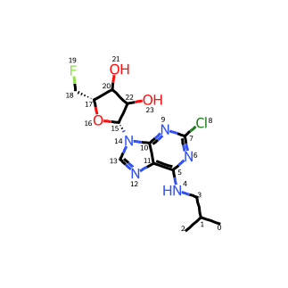 CC(C)CNc1nc(Cl)nc2c1ncn2[C@@H]1O[C@H](CF)C(O)C1O